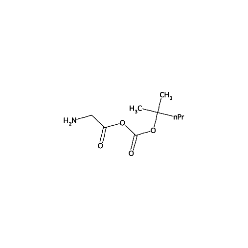 CCCC(C)(C)OC(=O)OC(=O)CN